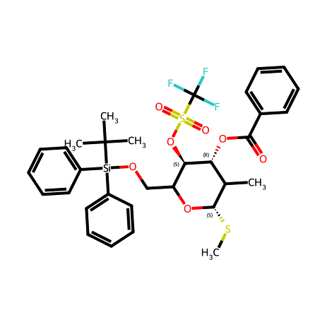 CS[C@@H]1OC(CO[Si](c2ccccc2)(c2ccccc2)C(C)(C)C)[C@@H](OS(=O)(=O)C(F)(F)F)[C@H](OC(=O)c2ccccc2)C1C